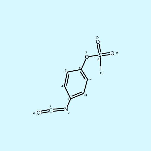 O=C=Nc1ccc(OS(=O)(=O)I)cc1